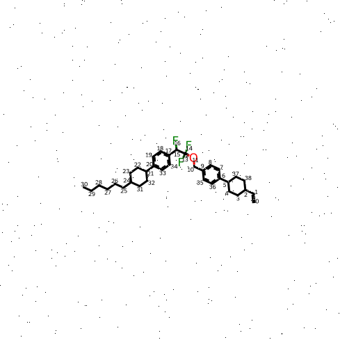 C=CC1CCC(c2ccc(COC(F)(F)C(F)c3ccc(C4CCC(CCCCCC)CC4)cc3)cc2)CC1